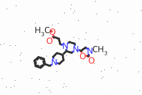 COC(=O)CCN1CCN(C2CN(C)C(=O)O2)CC1C1CCN(Cc2ccccc2)CC1